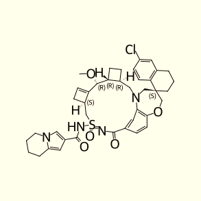 CO[C@H]1C2=CC[C@@H]2CS(=O)(NC(=O)c2cc3n(c2)CCCC3)=NC(=O)c2ccc3c(c2)N(C[C@@H]2CC[C@H]21)C[C@@]1(CCCc2cc(Cl)ccc21)CO3